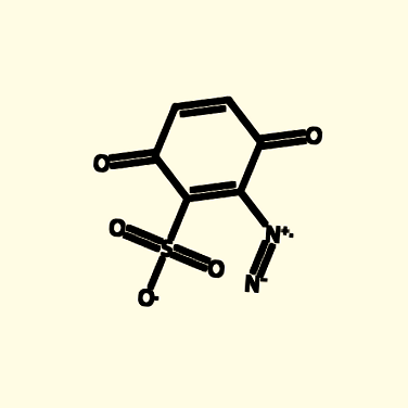 [N-]=[N+]C1=C(S([O])(=O)=O)C(=O)C=CC1=O